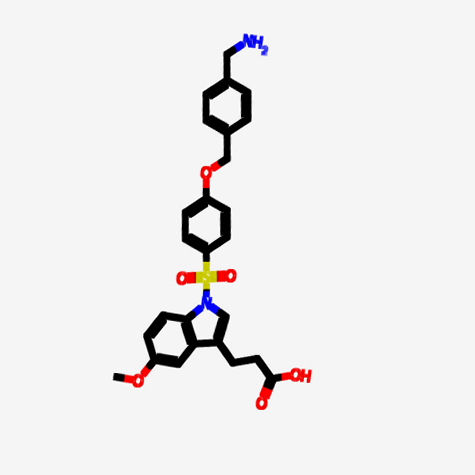 COc1ccc2c(c1)c(CCC(=O)O)cn2S(=O)(=O)c1ccc(OCc2ccc(CN)cc2)cc1